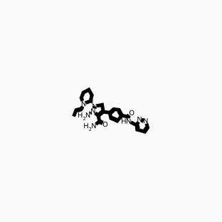 CC=CN1CCCC[C@@H]1N1CC(c2ccc(C(=O)Nc3cccnn3)cc2)=C(C(N)=O)N1N